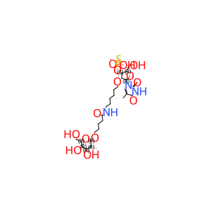 COP(O)(=S)O[C@@H]1C(OCCCCCCNC(=O)CCCCO[C@@H]2O[C@H](CO)[C@H](O)[C@H](O)[C@H]2C)[C@H](n2cc(C)c(=O)[nH]c2=O)O[C@@H]1CO